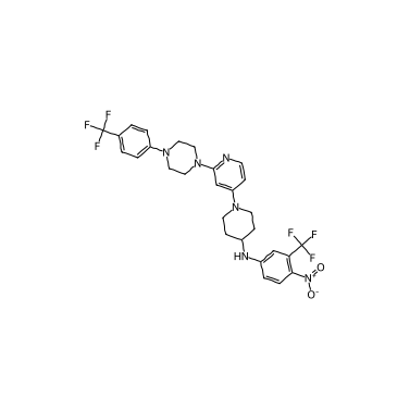 O=[N+]([O-])c1ccc(NC2CCN(c3ccnc(N4CCN(c5ccc(C(F)(F)F)cc5)CC4)c3)CC2)cc1C(F)(F)F